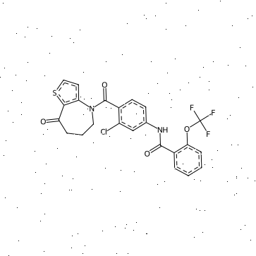 O=C(Nc1ccc(C(=O)N2CCCC(=O)c3sccc32)c(Cl)c1)c1ccccc1OC(F)(F)F